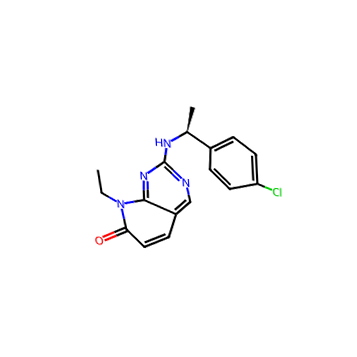 CCn1c(=O)ccc2cnc(N[C@@H](C)c3ccc(Cl)cc3)nc21